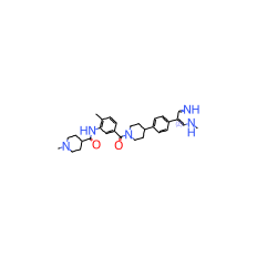 CN/C=C(\C=N)c1ccc(C2CCN(C(=O)c3ccc(C)c(NC(=O)C4CCN(C)CC4)c3)CC2)cc1